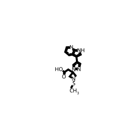 CCSN1CC(CC(=O)O)(n2cc(-c3c[nH]c4ncccc34)cn2)C1